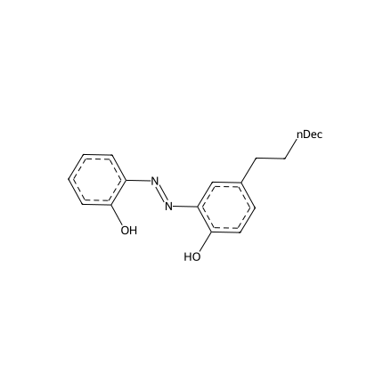 CCCCCCCCCCCCc1ccc(O)c(N=Nc2ccccc2O)c1